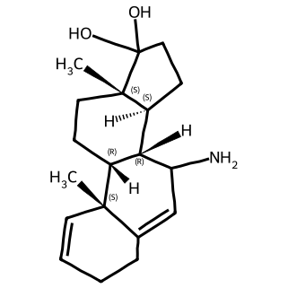 C[C@]12C=CCCC1=CC(N)[C@@H]1[C@H]2CC[C@@]2(C)[C@H]1CCC2(O)O